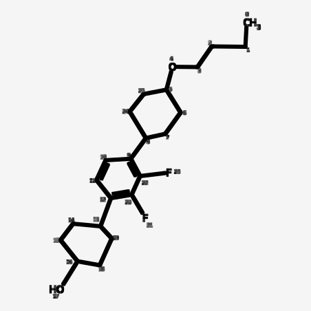 CCCCOC1CCC(c2ccc(C3CCC(O)CC3)c(F)c2F)CC1